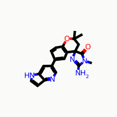 CN1C(=O)C2(CC(C)(C)Oc3ccc(-c4cnc5cc[nH]c5c4)cc32)N=C1N